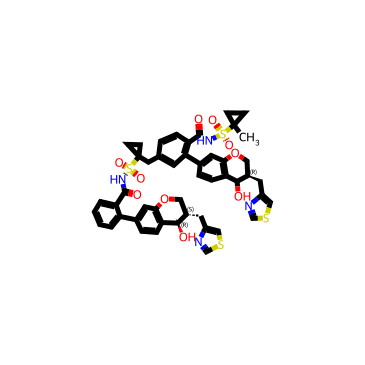 CC1(S(=O)(=O)NC(=O)c2ccc(CC3(S(=O)(=O)NC(=O)c4ccccc4-c4ccc5c(c4)OC[C@H](Cc4cscn4)[C@H]5O)CC3)cc2-c2ccc3c(c2)OC[C@@H](Cc2cscn2)C3O)CC1